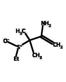 C=C(N)C(C)(C)[S+]([O-])CC